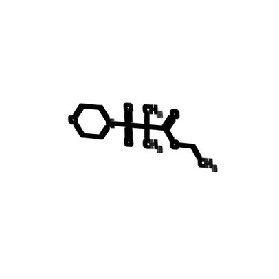 CCOC(=O)C(C)(C)S(=O)(=O)N1CCOCC1